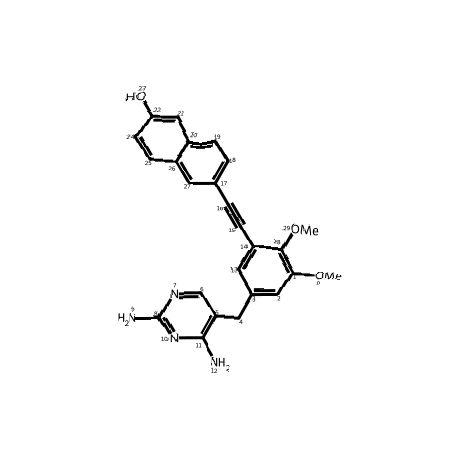 COc1cc(Cc2cnc(N)nc2N)cc(C#Cc2ccc3cc(O)ccc3c2)c1OC